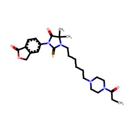 CCC(=O)N1CCN(CCCCCCN2C(=S)N(c3ccc4c(c3)COC4=O)C(=O)C2(C)C)CC1